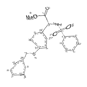 COC(=O)C(NS(=O)(=O)c1ccccc1)c1ccc(OCc2ccccc2)cc1